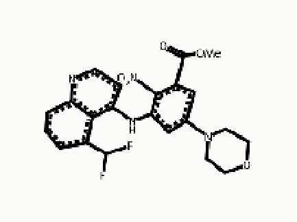 COC(=O)c1cc(N2CCOCC2)cc(Nc2ccnc3cccc(C(F)F)c23)c1[N+](=O)[O-]